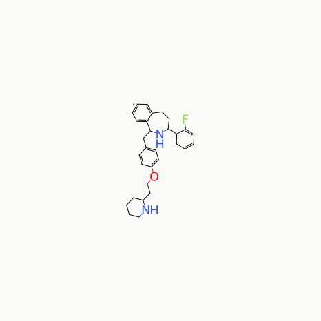 Fc1ccccc1C1CCc2c[c]ccc2C(Cc2ccc(OCCC3CCCCN3)cc2)N1